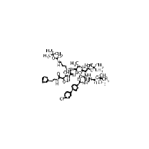 C[C@H](NC(=O)[C@@H](NC(=O)[C@H](CNC(=O)OC(C)(C)C)NC(=O)c1ccc(-c2ccc(Cl)cc2)cc1)[C@@H](C)OC(C)(C)C)C(=O)N[C@@H](CCCCNC(=O)OC(C)(C)C)C(=O)N[C@@H](C)C(O)C(=O)NCCc1ccccc1